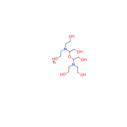 OCCN(CCO)C(CO)OC(CO)N(CCO)CCO.[Ti]